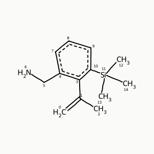 C=C(C)c1c(CN)cccc1[Si](C)(C)C